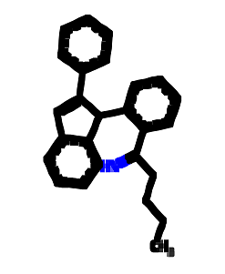 CCCCC(=N)c1ccccc1C1C(c2ccccc2)=Cc2ccccc21